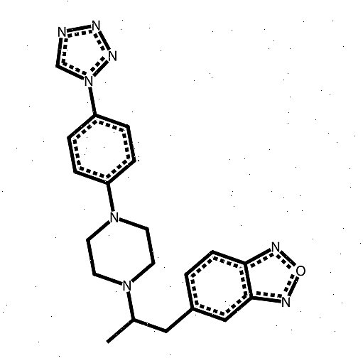 CC(Cc1ccc2nonc2c1)N1CCN(c2[c]cc(-n3cnnn3)cc2)CC1